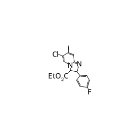 CCOC(=O)C1C(c2ccc(F)cc2)N=C2C=C(C)C(Cl)=CN21